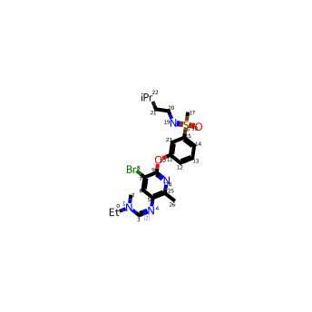 CCN(C)/C=N\c1cc(Br)c(Oc2cccc(S(C)(=O)=NCCC(C)C)c2)nc1C